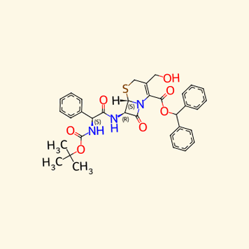 CC(C)(C)OC(=O)N[C@H](C(=O)N[C@@H]1C(=O)N2C(C(=O)OC(c3ccccc3)c3ccccc3)=C(CO)CS[C@@H]12)c1ccccc1